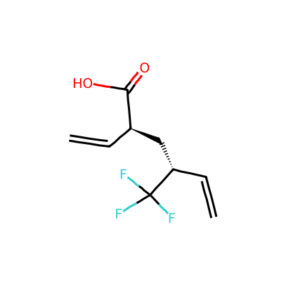 C=C[C@H](C[C@H](C=C)C(F)(F)F)C(=O)O